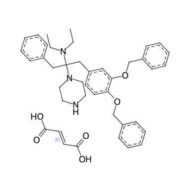 CCN(CC)C(Cc1ccccc1)(Cc1ccc(OCc2ccccc2)c(OCc2ccccc2)c1)N1CCNCC1.O=C(O)/C=C/C(=O)O